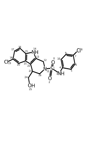 O=S(=O)(Nc1ccc(Cl)cc1)N1Cc2[nH]c3ccc(Cl)cc3c2C(CO)C1